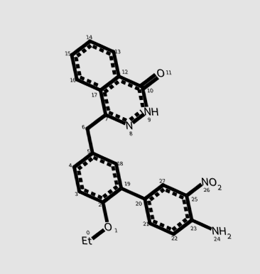 CCOc1ccc(Cc2n[nH]c(=O)c3ccccc23)cc1-c1ccc(N)c([N+](=O)[O-])c1